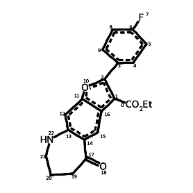 CCOC(=O)c1c(-c2ccc(F)cc2)oc2cc3c(cc12)C(=O)CCCN3